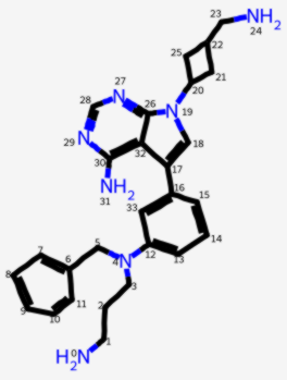 NCCCN(Cc1ccccc1)c1cccc(-c2cn(C3CC(CN)C3)c3ncnc(N)c23)c1